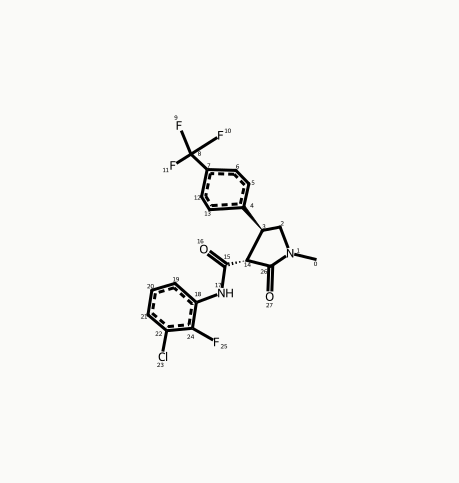 CN1C[C@H](c2ccc(C(F)(F)F)cc2)[C@@H](C(=O)Nc2cccc(Cl)c2F)C1=O